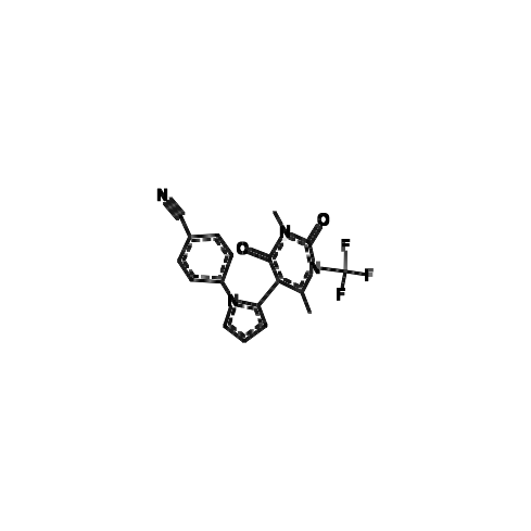 Cc1c(-c2cccn2-c2ccc(C#N)cc2)c(=O)n(C)c(=O)n1C(F)(F)F